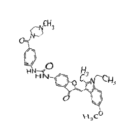 CCn1c(C)c(C=C2Oc3ccc(NC(=O)Nc4ccc(C(=O)N5CCN(C)CC5)cc4)cc3C2=O)c2cc(OC)ccc21